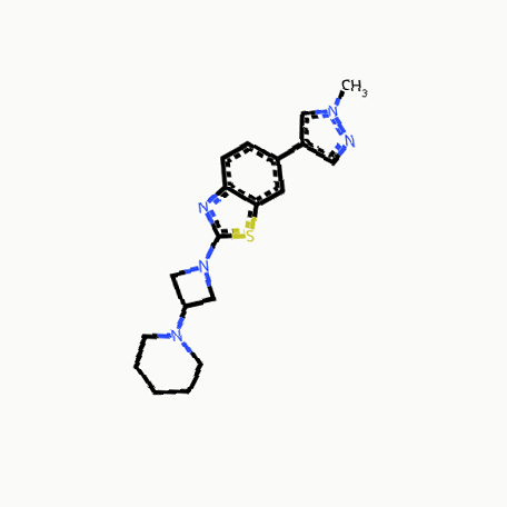 Cn1cc(-c2ccc3nc(N4CC(N5CCCCC5)C4)sc3c2)cn1